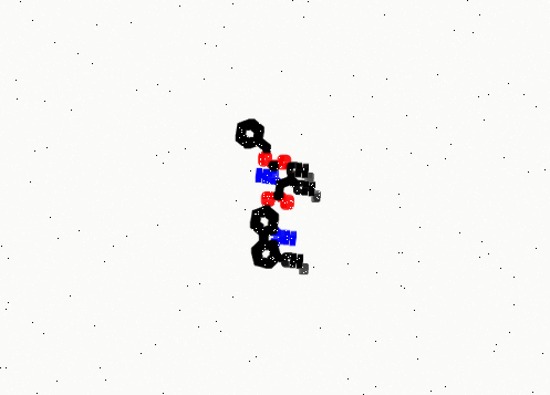 Cc1cccc2c1[nH]c1cc(OC(=O)[C@@H](NC(=O)OCc3ccccc3)C(C)C)ccc12